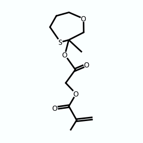 C=C(C)C(=O)OCC(=O)OC1(C)COCCCS1